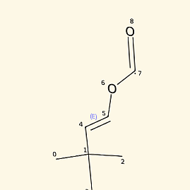 CC(C)(C)/C=C/O[C]=O